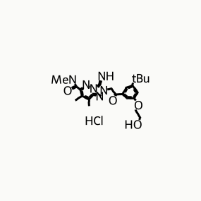 CNC(=O)c1nn2c(=N)n(CC(=O)c3cc(OCCO)cc(C(C)(C)C)c3)nc2c(C)c1C.Cl